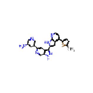 Cc1ccc(-c2ccnc3[nH]c(-c4n[nH]c5cnc(-c6cncc(N)c6)cc45)cc23)s1